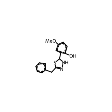 COc1ccc(O)c(C2NN=C(Cc3ccccc3)S2)c1